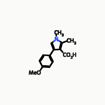 COc1ccc(-c2cn(C)c(C)c2C(=O)O)cc1